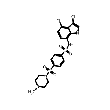 CN1CCN(S(=O)(=O)c2ccc(S(=O)(=O)Nc3ccc(Cl)c4c(Cl)c[nH]c34)cc2)CC1